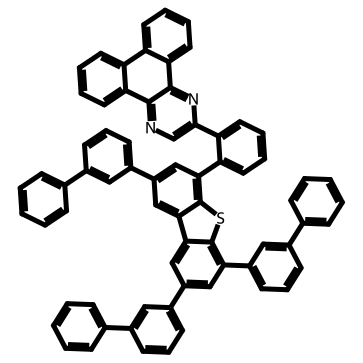 c1ccc(-c2cccc(-c3cc(-c4cccc(-c5ccccc5)c4)c4sc5c(-c6ccccc6-c6cnc7c8ccccc8c8ccccc8c7n6)cc(-c6cccc(-c7ccccc7)c6)cc5c4c3)c2)cc1